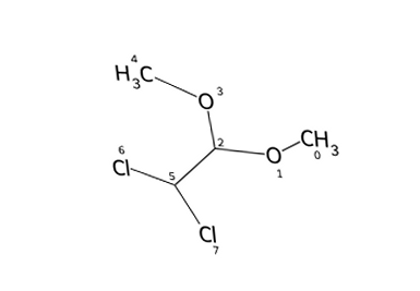 COC(OC)C(Cl)Cl